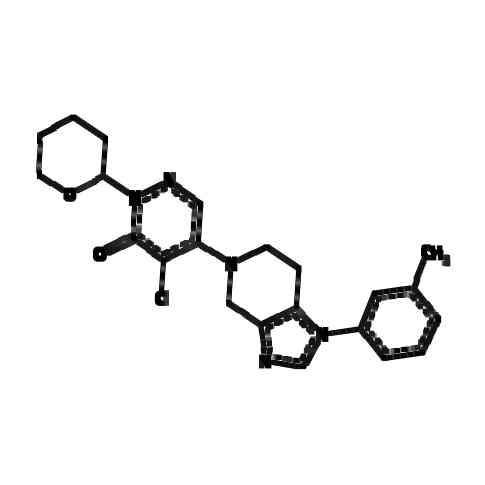 Cc1cccc(-n2cnc3c2CCN(c2cnn(C4CCCCO4)c(=O)c2Cl)C3)c1